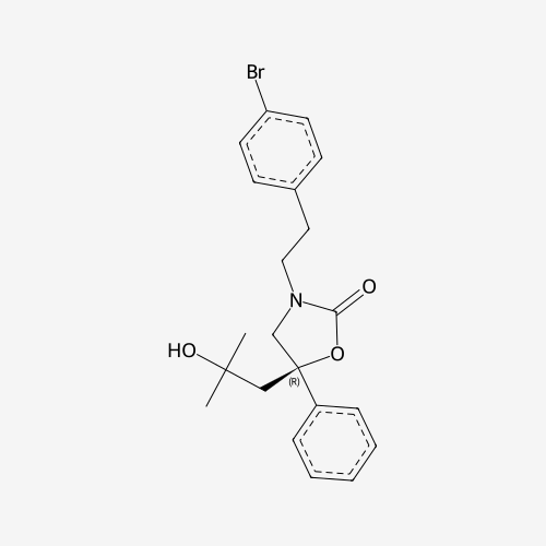 CC(C)(O)C[C@@]1(c2ccccc2)CN(CCc2ccc(Br)cc2)C(=O)O1